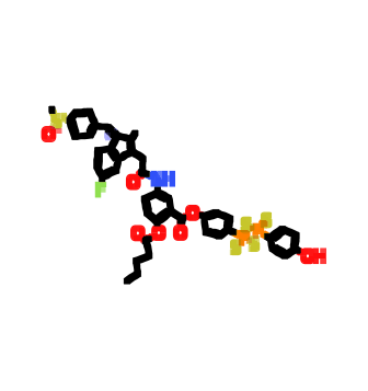 CCCCC(=O)Oc1ccc(NC(=O)CC2=C(C)/C(=C/c3ccc([S+](C)[O-])cc3)c3ccc(F)cc32)cc1C(=O)Oc1ccc(P2(=S)SP(=S)(c3ccc(O)cc3)S2)cc1